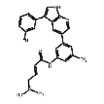 Cc1cc(NC(=O)/C=C/CN(C)C)cc(-c2cnc3[nH]cc(-c4cccc(C)c4)c3c2)c1